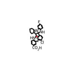 O=C(O)c1ccc(NC(=O)C(C2CCCCC2)C2(c3ccc(Cl)cc3)Nc3ccc(F)cc3N2)c(F)c1